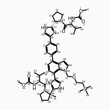 COC(=O)N[C@H](C(=O)N1CCC[C@H]1c1nc(-c2ccc(-c3ccc(-c4c[nH]c([C@]5(C)CCCN5C(=O)[C@@H](NC(=O)OC)C(C)C)n4)c4c3ccn4COCC[Si](C)(C)C)cc2)c[nH]1)C(C)C